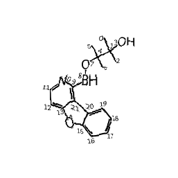 CC(C)(O)C(C)(C)OBc1nccc2oc3ccccc3c12